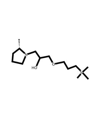 C[C@H]1CCCN1CC(O)COCCC[Si](C)(C)C